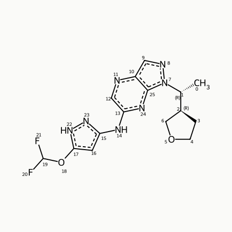 C[C@H]([C@H]1CCOC1)n1ncc2ncc(Nc3cc(OC(F)F)[nH]n3)nc21